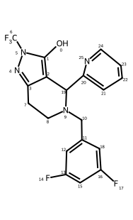 Oc1c2c(nn1C(F)(F)F)CCN(Cc1cc(F)cc(F)c1)C2c1ccccn1